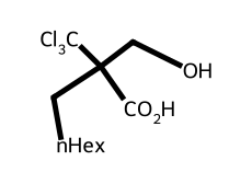 CCCCCCCC(CO)(C(=O)O)C(Cl)(Cl)Cl